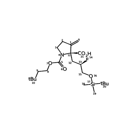 C=C1CCN(C(=O)OCCC(C)(C)C)[C@]1(C[C@@H](F)CO[Si](C)(C)C(C)(C)C)C(=O)O